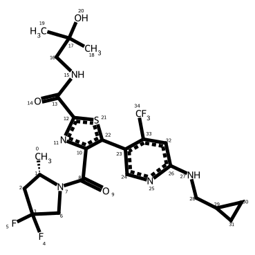 C[C@H]1CC(F)(F)CN1C(=O)c1nc(C(=O)NCC(C)(C)O)sc1-c1cnc(NCC2CC2)cc1C(F)(F)F